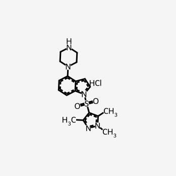 Cc1nn(C)c(C)c1S(=O)(=O)n1ccc2c(N3CCNCC3)cccc21.Cl